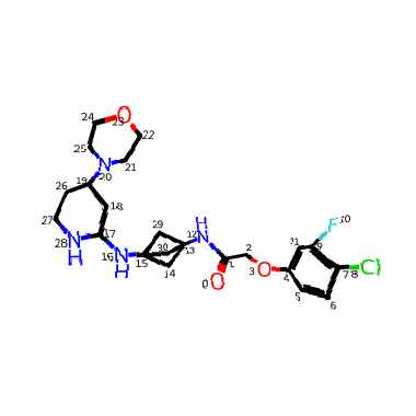 O=C(COc1ccc(Cl)c(F)c1)NC12CC(NC3CC(N4CCOCC4)CCN3)(C1)C2